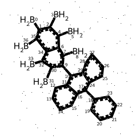 Bc1c(B)c(B)c2c(B)c(-c3c4ccccc4c(-c4ccccc4)c4ccccc34)c(B)c(B)c2c1B